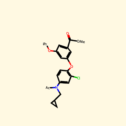 COC(=O)c1cc(Oc2ccc(N(CC3CC3)C(C)=O)cc2Cl)cc(OC(C)C)c1